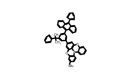 CC(C)(C)c1ccc2c(c1)Oc1cc(-c3cc(-c4c5ccccc5c(-c5ccccc5)c5ccccc45)cc(C(C)(C)c4ccccc4)c3)cc3c1B2c1ccccc1O3